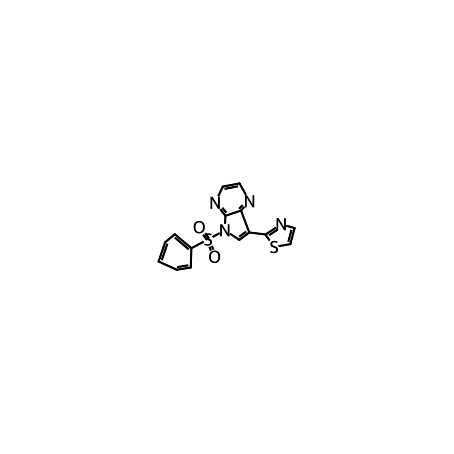 O=S(=O)(c1ccccc1)n1cc(-c2nccs2)c2nccnc21